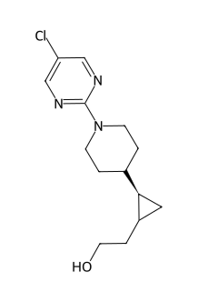 OCCC1C[C@@H]1C1CCN(c2ncc(Cl)cn2)CC1